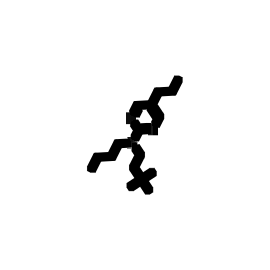 CCCCN(CCC(C)(C)C)c1ncc(CCC)cn1